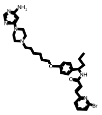 CCCC(NC(=O)/C=C/c1cccc(Br)n1)c1ccc(OCCCCCCN2CCN(c3cc(N)ncn3)CC2)cc1